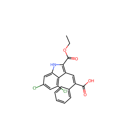 CCOC(=O)c1[nH]c2cc(Cl)cc(Cl)c2c1/C=C(/C(=O)O)c1ccccc1